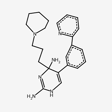 NC1=NC(N)(CCCN2CCCCC2)C(c2cccc(-c3ccccn3)c2)=CN1